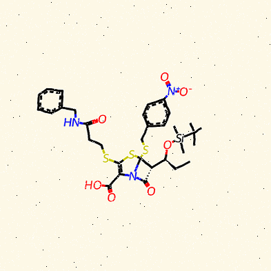 CC[C@H](O[Si](C)(C)C(C)(C)C)[C@@H]1C(=O)N2C(C(=O)O)=C(SCCC(=O)NCc3ccccc3)S[C@]12SCc1ccc([N+](=O)[O-])cc1